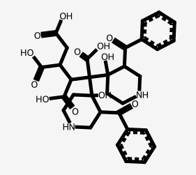 O=C(O)CC(C(=O)O)C(C(=O)O)C(C(=O)O)(C1(O)CCNCC1C(=O)c1ccccc1)C1(O)CCNCC1C(=O)c1ccccc1